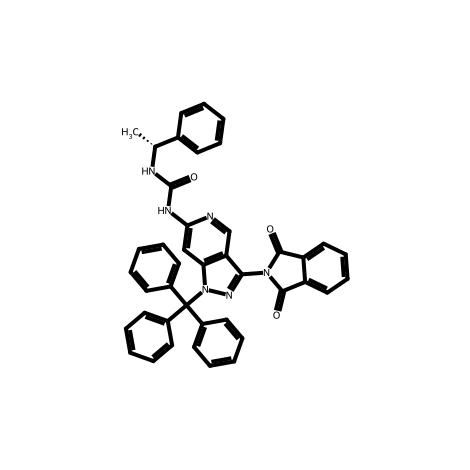 C[C@@H](NC(=O)Nc1cc2c(cn1)c(N1C(=O)c3ccccc3C1=O)nn2C(c1ccccc1)(c1ccccc1)c1ccccc1)c1ccccc1